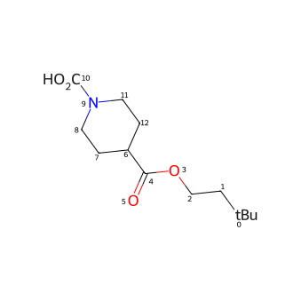 CC(C)(C)CCOC(=O)C1CCN(C(=O)O)CC1